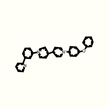 c1ccc(Oc2ccc(-[n+]3ccc(-c4cc[n+](-c5cccc(-c6ccccn6)c5)cc4)cc3)cc2)cc1